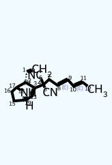 C=C[C@@H]1C(C(C#N)(C#N)C/C=C/C=C/C)=C[C@H]2CCC1N2